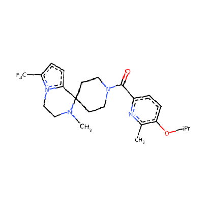 Cc1nc(C(=O)N2CCC3(CC2)c2ccc(C(F)(F)F)n2CCN3C)ccc1OC(C)C